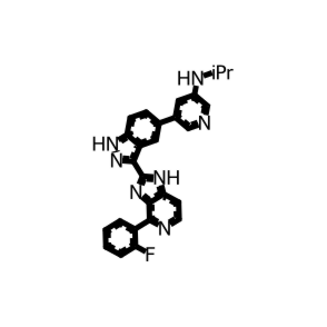 CC(C)Nc1cncc(-c2ccc3[nH]nc(-c4nc5c(-c6ccccc6F)nccc5[nH]4)c3c2)c1